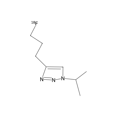 CC(C)n1cc(CCC[18F])nn1